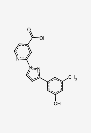 Cc1cc(O)cc(-c2ccn(-c3cc(C(=O)O)ccn3)n2)c1